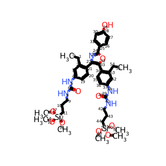 CCc1cc(NC(=O)NCCC[Si](OC)(OC)OC)ccc1-c1nc(-c2ccc(O)cc2)oc1-c1ccc(NC(=O)NCCC[Si](OC)(OC)OC)cc1CC